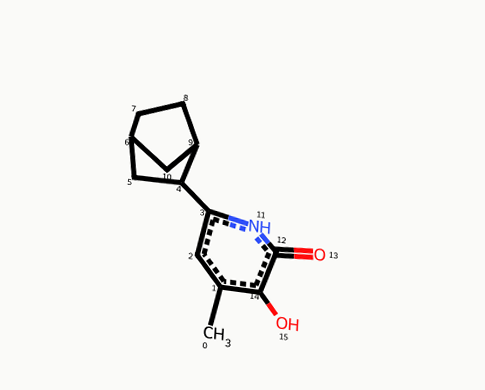 Cc1cc(C2CC3CCC2C3)[nH]c(=O)c1O